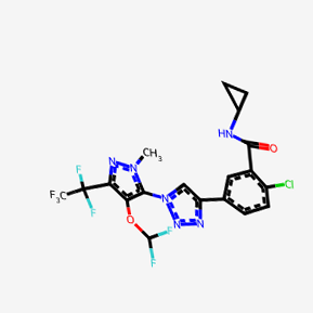 Cn1nc(C(F)(F)C(F)(F)F)c(OC(F)F)c1-n1cc(-c2ccc(Cl)c(C(=O)NC3CC3)c2)nn1